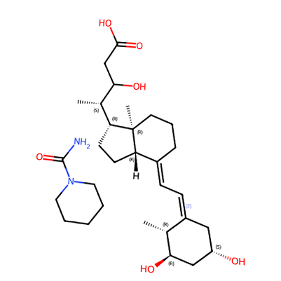 C[C@@H]1/C(=C\C=C2CCC[C@]3(C)[C@@H]([C@H](C)C(O)CC(=O)O)CC[C@@H]23)C[C@H](O)C[C@H]1O.NC(=O)N1CCCCC1